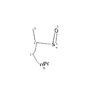 [CH2]CCCC(C)[S+]=O